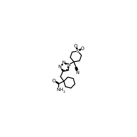 N#CC1(n2cc([CH]C3(C(N)=O)CCCCC3)nn2)CCS(=O)(=O)CC1